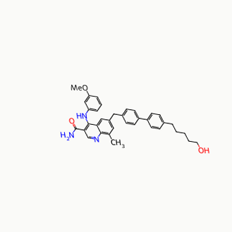 COc1cccc(Nc2c(C(N)=O)cnc3c(C)cc(Cc4ccc(-c5ccc(CCCCCO)cc5)cc4)cc23)c1